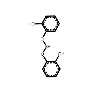 Oc1ccccc1OBOc1ccccc1O